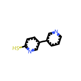 Sc1ccc(-c2cccnc2)cn1